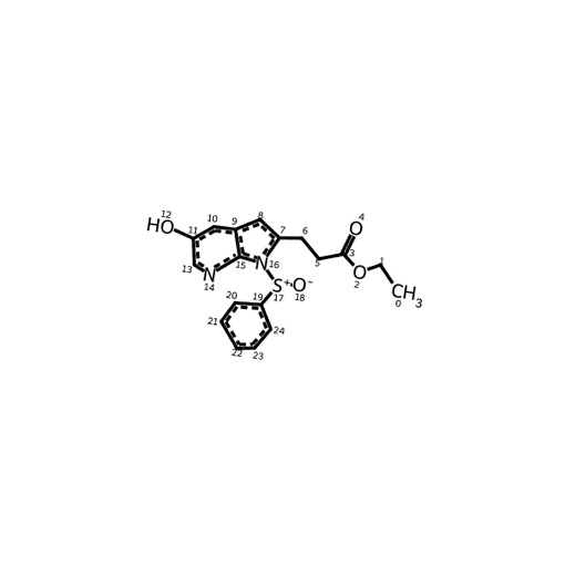 CCOC(=O)CCc1cc2cc(O)cnc2n1[S+]([O-])c1ccccc1